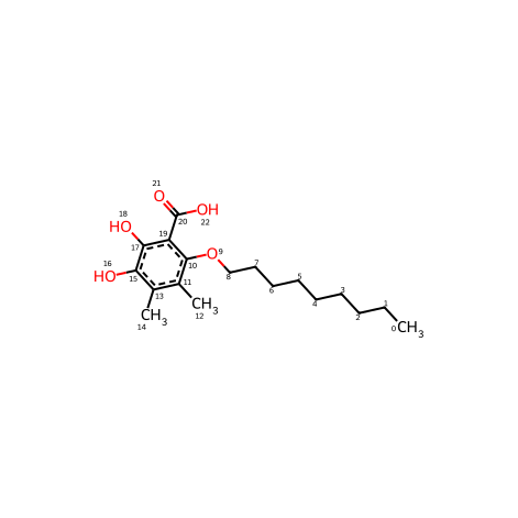 CCCCCCCCCOc1c(C)c(C)c(O)c(O)c1C(=O)O